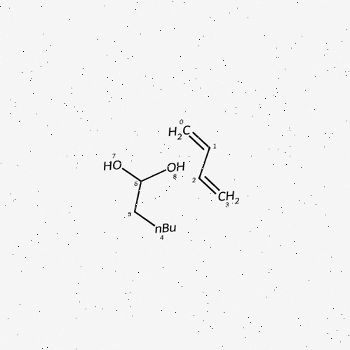 C=CC=C.CCCCCC(O)O